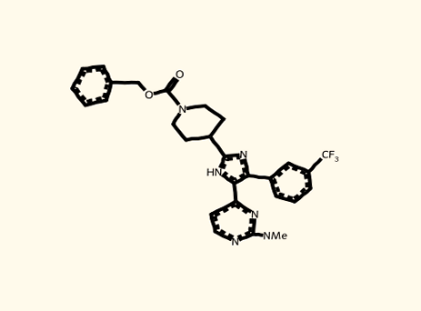 CNc1nccc(-c2[nH]c(C3CCN(C(=O)OCc4ccccc4)CC3)nc2-c2cccc(C(F)(F)F)c2)n1